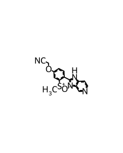 C[S+]([O-])c1cc(OCC#N)ccc1-c1nc2cnccc2[nH]1